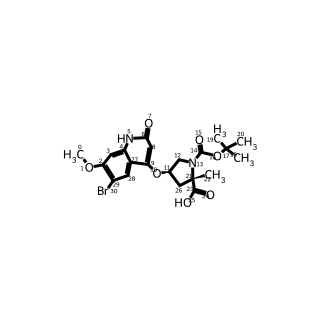 COc1cc2[nH]c(=O)cc(O[C@H]3CN(C(=O)OC(C)(C)C)[C@](C)(C(=O)O)C3)c2cc1Br